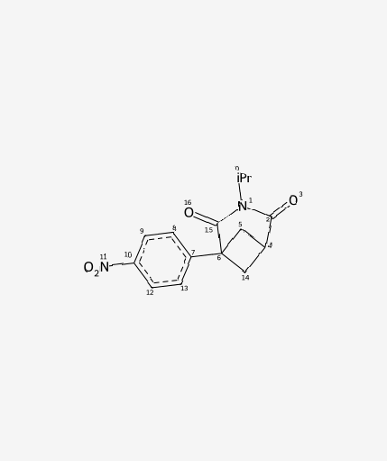 CC(C)N1C(=O)C2CC(c3ccc([N+](=O)[O-])cc3)(C2)C1=O